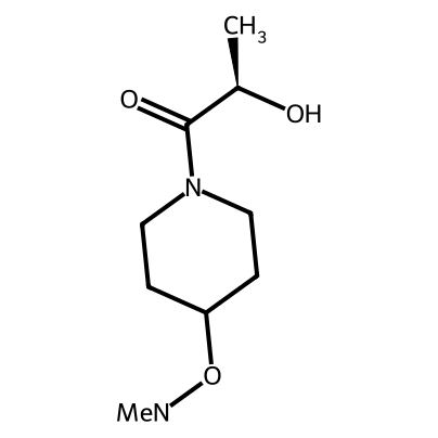 CNOC1CCN(C(=O)[C@@H](C)O)CC1